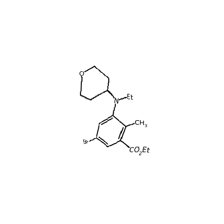 CCOC(=O)c1cc(Br)cc(N(CC)C2CCOCC2)c1C